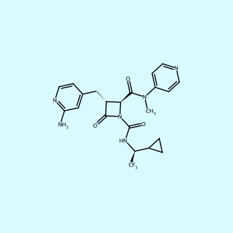 CN(C(=O)[C@@H]1[C@@H](Cc2ccnc(N)c2)C(=O)N1C(=O)N[C@@H](C1CC1)C(F)(F)F)c1ccncc1